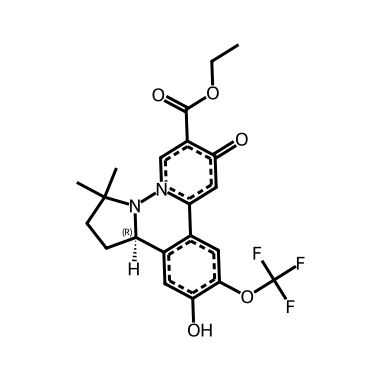 CCOC(=O)c1cn2c(cc1=O)-c1cc(OC(F)(F)F)c(O)cc1[C@H]1CCC(C)(C)N12